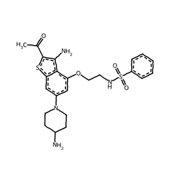 CC(=O)c1sc2cc(N3CCC(N)CC3)cc(OCCNS(=O)(=O)c3ccccc3)c2c1N